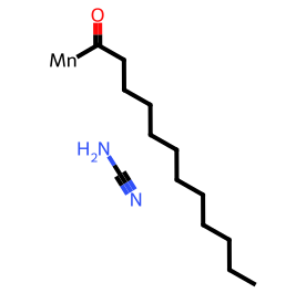 CCCCCCCCCCC[C](=O)[Mn].N#CN